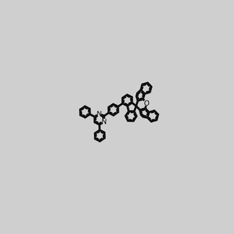 c1ccc(-c2cc(-c3ccccc3)nc(-c3ccc(-c4cccc5c4-c4ccccc4C54c5ccc6ccccc6c5Oc5c4ccc4ccccc54)cc3)n2)cc1